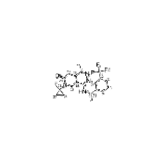 Cc1nnc(N[C@H](C)c2cccc(C(F)(F)F)c2)c2cn(C3(C)CC3)c(=O)cc12